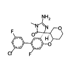 CN1C(=O)[C@]2(N=C1N)c1cc(-c3cc(F)cc(Cl)c3)c(F)cc1OC1CCOC[C@@H]12